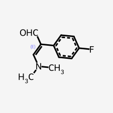 CN(C)/C=C(/C=O)c1ccc(F)cc1